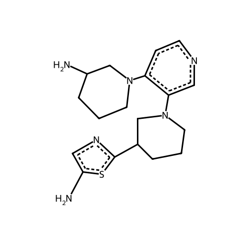 Nc1cnc(C2CCCN(c3cnccc3N3CCCC(N)C3)C2)s1